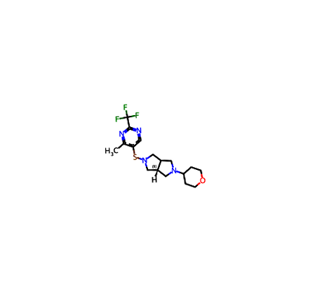 Cc1nc(C(F)(F)F)ncc1SN1CC2CN(C3CCOCC3)C[C@@H]2C1